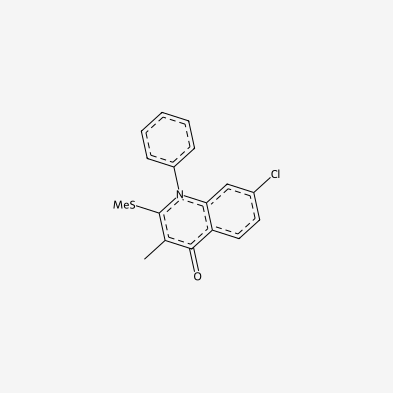 CSc1c(C)c(=O)c2ccc(Cl)cc2n1-c1ccccc1